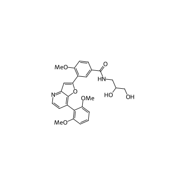 COc1ccc(C(=O)NCC(O)CO)cc1-c1cc2nccc(-c3c(OC)cccc3OC)c2o1